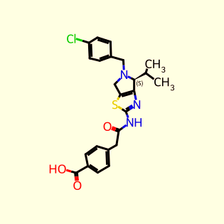 CC(C)[C@H]1c2nc(NC(=O)Cc3ccc(C(=O)O)cc3)sc2CN1Cc1ccc(Cl)cc1